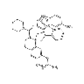 COc1ccc2[nH]cc(CCC3(CC4c5ccccc5-c5ccccc54)c4cc(OC(N)=O)c(OC)cc4CCN3C(=O)N3CCOCC3)c2c1